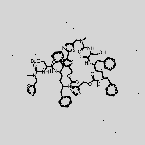 CC(C)COCC(NC(=O)N(C)Cc1cncs1)C(=O)NC(CCC(Cc1ccccc1)NC(=O)OCc1cnc(-c2ncc(CN(C)C(=O)NC(CO)C(=O)NC(CCC(Cc3ccccc3)NC(=O)OCc3cncs3)Cc3ccccc3)s2)s1)Cc1ccccc1